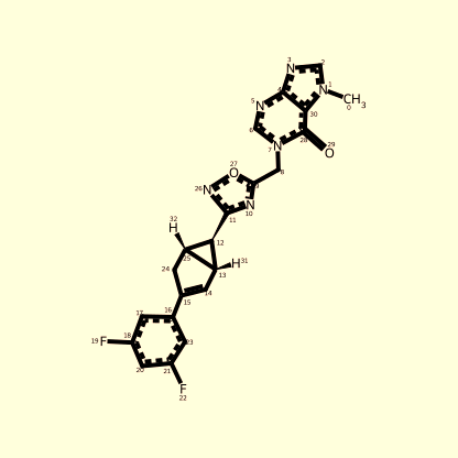 Cn1cnc2ncn(Cc3nc([C@H]4[C@@H]5C=C(c6cc(F)cc(F)c6)C[C@@H]54)no3)c(=O)c21